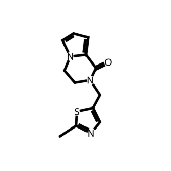 Cc1ncc(CN2CCn3cccc3C2=O)s1